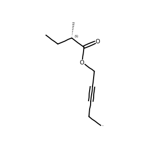 [CH2]CC#CCOC(=O)[C@@H](C)CC